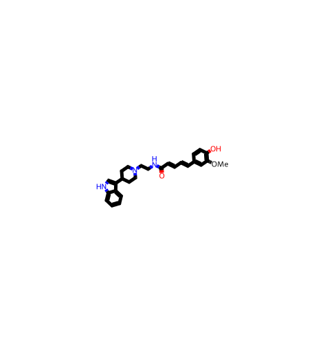 COc1cc(C=CC=CC(=O)NCCN2CCC(c3c[nH]c4ccccc34)CC2)ccc1O